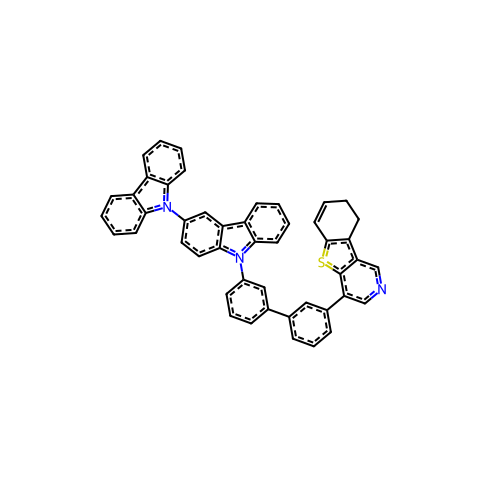 C1=Cc2sc3c(-c4cccc(-c5cccc(-n6c7ccccc7c7cc(-n8c9ccccc9c9ccccc98)ccc76)c5)c4)cncc3c2CC1